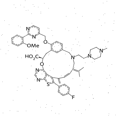 C=C1/C=C\C(=C(C)C)CN(CCN2CCN(C)CC2)Cc2ccc(OCc3ccnc(-c4ccccc4OC)n3)c(c2)C[C@H](C(=O)O)Oc2ncnc3sc(-c4ccc(F)cc4)c1c23